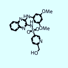 COc1cc(Nc2nc3ccccc3nc2NS(=O)(=O)c2ccc(CO)nc2)cc(OC)c1